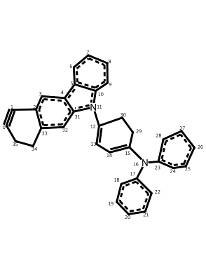 C1#Cc2cc3c4ccccc4n(C4=CC=C(N(c5ccccc5)c5ccccc5)CC4)c3cc2CC1